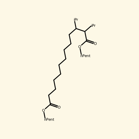 CCCCCOC(=O)CCCCCCCCCC(C(C)C)C(C(=O)OCCCCC)C(C)C